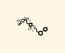 NC(CO)(CCc1ccc(OCCCc2cccc(-c3ccccc3)c2)c(C(F)(F)F)c1)COP=O